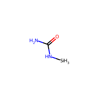 NC(=O)N[SiH3]